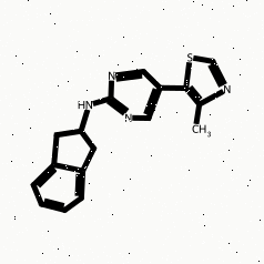 Cc1n[c]sc1-c1cnc(NC2Cc3ccccc3C2)nc1